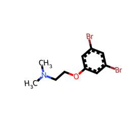 CN(C)CCOc1cc(Br)cc(Br)c1